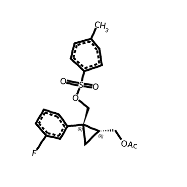 CC(=O)OC[C@@H]1C[C@]1(COS(=O)(=O)c1ccc(C)cc1)c1cccc(F)c1